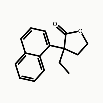 CCC1(c2cccc3ccccc23)CCOC1=O